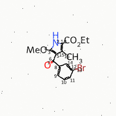 CCOC(=O)c1[nH]c(OC)c(C(=O)c2cccc(Br)c2)c1C